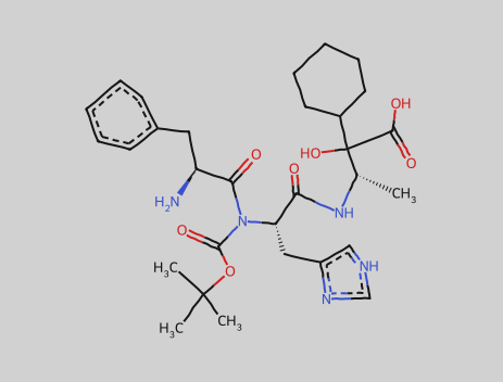 C[C@H](NC(=O)[C@H](Cc1c[nH]cn1)N(C(=O)OC(C)(C)C)C(=O)[C@@H](N)Cc1ccccc1)C(O)(C(=O)O)C1CCCCC1